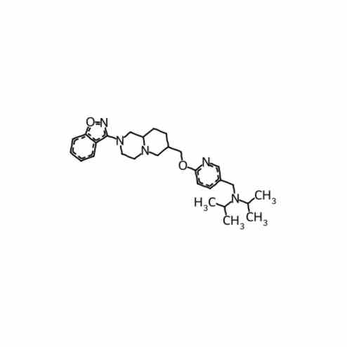 CC(C)N(Cc1ccc(OCC2CCC3CN(c4noc5ccccc45)CCN3C2)nc1)C(C)C